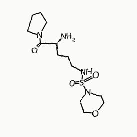 N[C@@H](CCCNS(=O)(=O)N1CCOCC1)C(=O)N1CCCC1